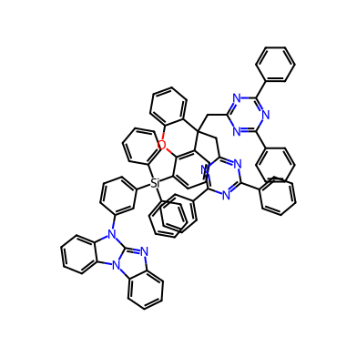 c1ccc(-c2nc(CC3(Cc4nc(-c5ccccc5)nc(-c5ccccc5)n4)c4ccccc4Oc4c3cccc4[Si](c3ccccc3)(c3ccccc3)c3cccc(-n4c5ccccc5n5c6ccccc6nc45)c3)nc(-c3ccccc3)n2)cc1